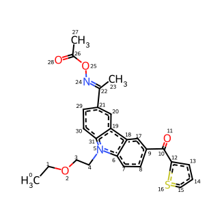 CCOCCn1c2ccc(C(=O)c3cccs3)cc2c2cc(/C(C)=N/OC(C)=O)ccc21